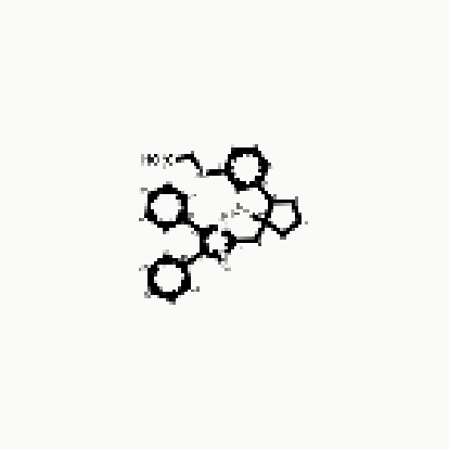 O=C(O)COc1cccc(C2CCCC2(O)Cc2nc(-c3ccccc3)c(-c3ccccc3)o2)c1